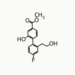 COC(=O)c1ccc(-c2ccc(F)cc2CCO)c(O)c1